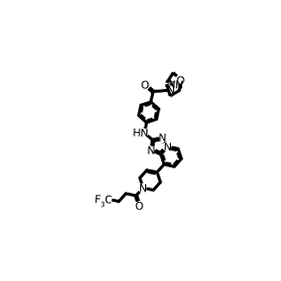 O=C(CCC(F)(F)F)N1CC=C(c2cccn3nc(Nc4ccc(C(=O)N5CC6CNCC5CO6)cc4)nc23)CC1